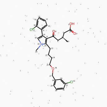 C[C@H](CC(=O)O)CC(=O)c1c(-c2ccccc2Cl)cn(C)c1CCCCOCc1cccc(Cl)c1